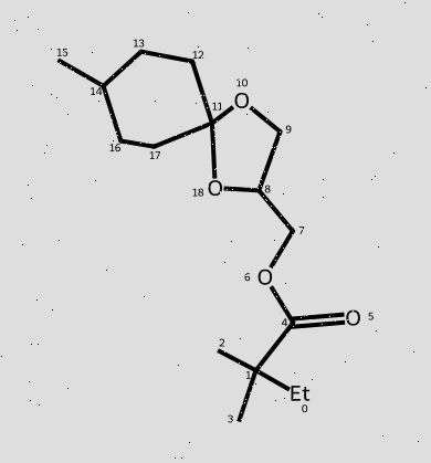 CCC(C)(C)C(=O)OCC1COC2(CCC(C)CC2)O1